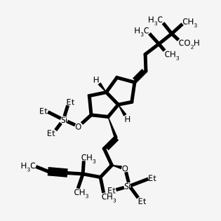 CC#CC(C)(C)C(C)[C@@H](/C=C/[C@H]1C(O[Si](CC)(CC)CC)C[C@@H]2C/C(=C\CC(C)(C)C(C)(C)C(=O)O)C[C@@H]21)O[Si](CC)(CC)CC